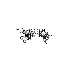 C=CCOC(=O)N1CC(N2CCC(=CC3=C(C(=O)O)N4C(=O)[C@@H](NC(=O)C(=NOC(c5ccccc5)(c5ccccc5)c5ccccc5)c5csc(N)n5)[C@H]4SC3)C2=O)CN1C(=O)OCC=C